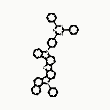 c1ccc(-c2nc(-c3ccccc3)nc(-c3ccc(-n4c5ccccc5c5c6oc7c(ccc8c7c7ccc9ccccc9c7n8-c7ccccc7)c6ccc54)cc3)n2)cc1